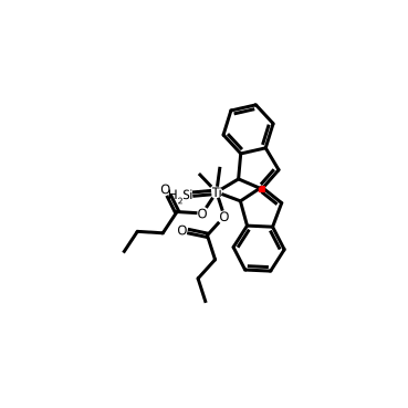 CCCC(=O)[O][Ti]([CH3])([CH3])(=[SiH2])([O]C(=O)CCC)([CH]1C=Cc2ccccc21)[CH]1C=Cc2ccccc21